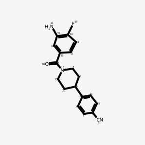 N#Cc1ccc(C2CCN(C(=O)c3ccc(F)c(N)c3)CC2)cc1